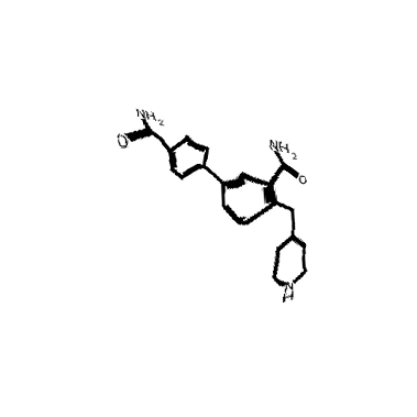 NC(=O)c1ccc(-c2ccc(CC3CCNCC3)c(C(N)=O)c2)cc1